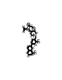 O=C1COC2(CCN(Cc3ccc(-c4ccc5cccc(F)c5c4)cc3F)CC2)CN1C1CC1